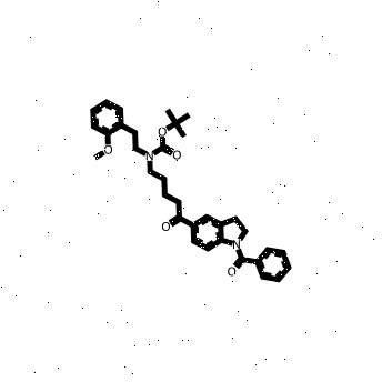 COc1ccccc1CCN(CCCCC(=O)c1ccc2c(c1)CCN2C(=O)c1ccccc1)C(=O)OC(C)(C)C